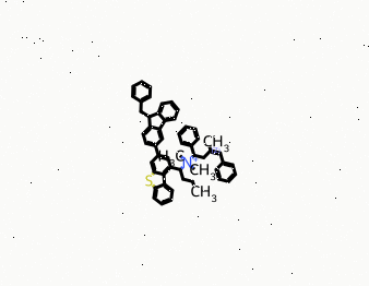 CCCC(c1cc(-c2ccc3c(c2)-c2ccccc2C3Cc2ccccc2)cc2sc3ccccc3c12)[N+](C)(C)C(C/C(C)=C\c1ccccc1)c1ccccc1